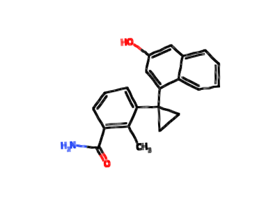 Cc1c(C(N)=O)cccc1C1(c2cc(O)cc3ccccc23)CC1